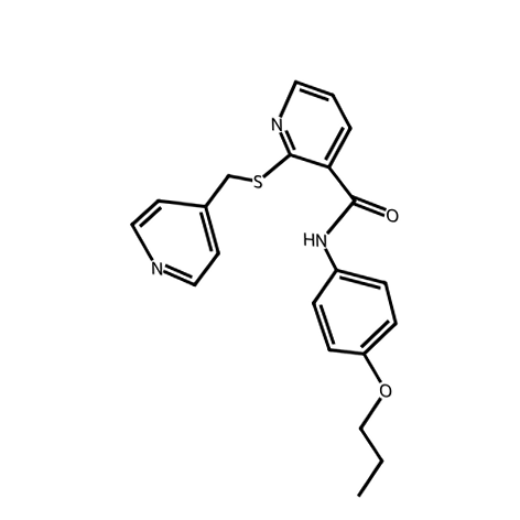 CCCOc1ccc(NC(=O)c2cccnc2SCc2ccncc2)cc1